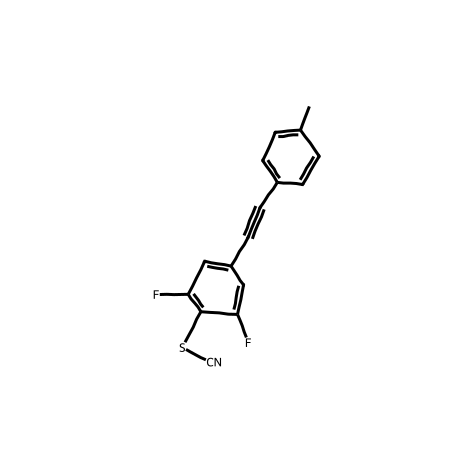 Cc1ccc(C#Cc2cc(F)c(SC#N)c(F)c2)cc1